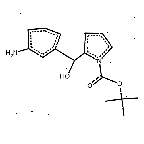 CC(C)(C)OC(=O)n1cccc1C(O)c1cccc(N)c1